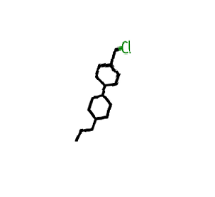 CCCC1CCC(C2CCC(CCl)CC2)CC1